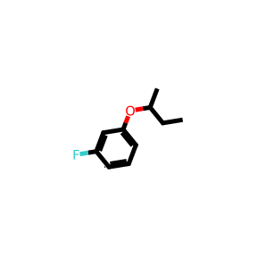 CCC(C)Oc1cc[c]c(F)c1